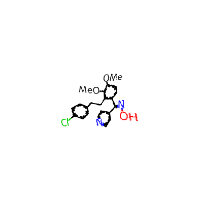 COc1ccc(C(=NO)c2ccncc2)c(CCc2ccc(Cl)cc2)c1OC